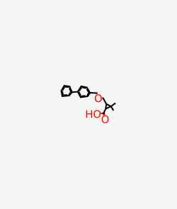 CC1(C)C(COCc2ccc(-c3ccccc3)cc2)C1C(=O)O